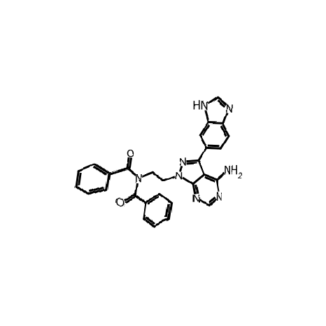 Nc1ncnc2c1c(-c1ccc3nc[nH]c3c1)nn2CCN(C(=O)c1ccccc1)C(=O)c1ccccc1